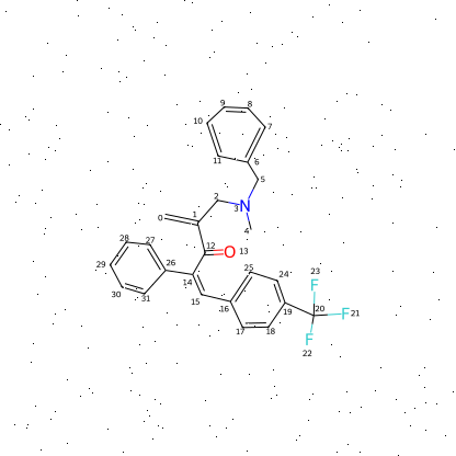 C=C(CN(C)Cc1ccccc1)C(=O)/C(=C\c1ccc(C(F)(F)F)cc1)c1ccccc1